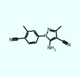 Cc1cc(-n2nc(C)c(C#N)c2N)ccc1C#N